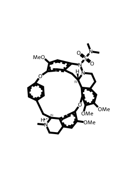 COc1cc2c3cc1Oc1ccc(cc1)C[C@H]1c4cc(c(OC)cc4CCN1C)Oc1c(OC)c(OC)cc4c1[C@H](C3)N(CC4)N2S(=O)(=O)N(C)C